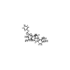 CC(C)C(NC(=O)OCc1ccccc1)C(=O)NC(Cc1ccc(O)c(C(C)(C)C)c1)c1nnco1